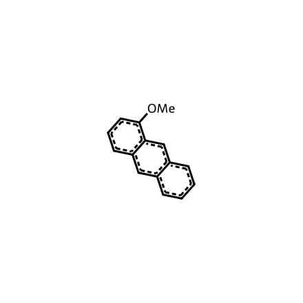 [CH2]Oc1cccc2cc3ccccc3cc12